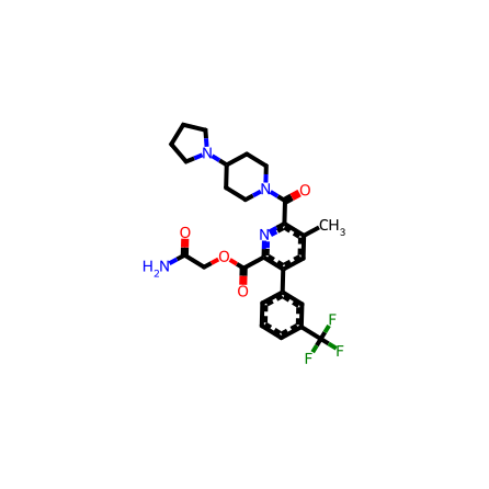 Cc1cc(-c2cccc(C(F)(F)F)c2)c(C(=O)OCC(N)=O)nc1C(=O)N1CCC(N2CCCC2)CC1